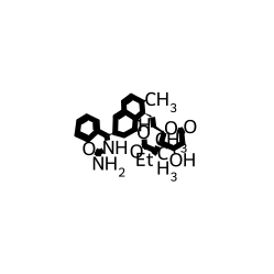 CCC(C)(C)C(=O)O[C@H]1C[C@H](C(NC(N)=O)c2ccccc2)C=C2C=C[C@H](C)[C@H](CC[C@@H]3C[C@@H](O)CC(=O)O3)[C@H]21